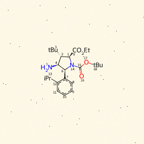 CCOC(=O)[C@@H]1[C@@H](C(C)(C)C)[C@H](N)[C@H](c2ccccc2C(C)C)N1C(=O)OC(C)(C)C